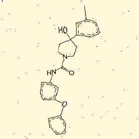 Cc1cccc(C2(O)CCN(C(=O)Nc3cccc(Oc4ccccc4)c3)CC2)c1